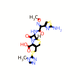 CON=C(C(=O)NC1C(=O)N2C(C(=O)O)=C(CSc3nncn3C)CS[C@@H]12)c1csc(N)n1